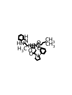 CC(C)CCS(=O)(=O)N[C@@H](CC(=O)N1CCC[C@@H]1c1ccccc1)C(=O)N[C@H](C)C1Nc2ccccc2N1